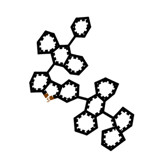 c1ccc(-c2c3ccccc3c(-c3cccc4sc5cc(-c6c7ccccc7c(-c7cccc8ccccc78)c7ccccc67)ccc5c34)c3ccccc23)cc1